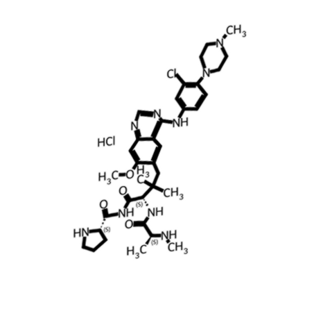 CN[C@@H](C)C(=O)N[C@H](C(=O)NC(=O)[C@@H]1CCCN1)C(C)(C)Cc1cc2c(Nc3ccc(N4CCN(C)CC4)c(Cl)c3)ncnc2cc1OC.Cl